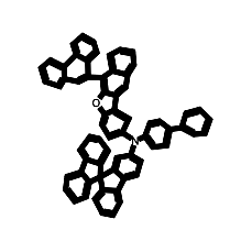 c1ccc(-c2ccc(N(c3ccc4c(c3)C3(c5ccccc5-c5ccccc53)c3ccccc3-4)c3ccc4oc5c(-c6cc7ccccc7c7ccccc67)c6ccccc6cc5c4c3)cc2)cc1